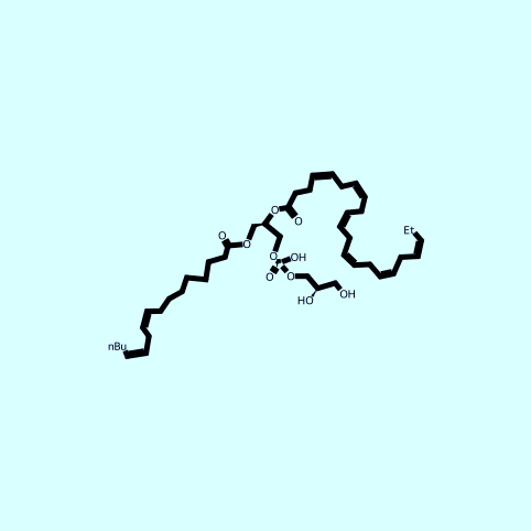 CC/C=C\C/C=C\C/C=C\C/C=C\C/C=C\C/C=C\CCC(=O)O[C@H](COC(=O)CCCCCCC/C=C\C/C=C\CCCC)COP(=O)(O)OC[C@@H](O)CO